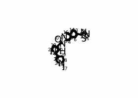 O=C(Nc1cc2cc(-c3nncs3)ccc2cn1)c1ccnc(C2=CCN(I)CC2)c1